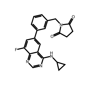 O=C1CCC(=O)N1Cc1cccc(-c2cc(F)c3ncnc(NC4CC4)c3c2)c1